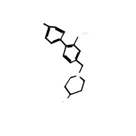 COc1cc(CN2CCC(O)CC2)ccc1-c1ccc(F)cc1